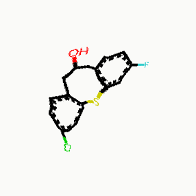 OC1Cc2ccc(Cl)cc2Sc2cc(F)ccc21